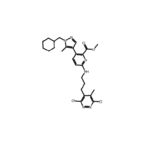 COC(=O)c1nc(NCCCc2c(Cl)nnc(Cl)c2C)ccc1-c1cnn(CC2CCCCC2)c1C